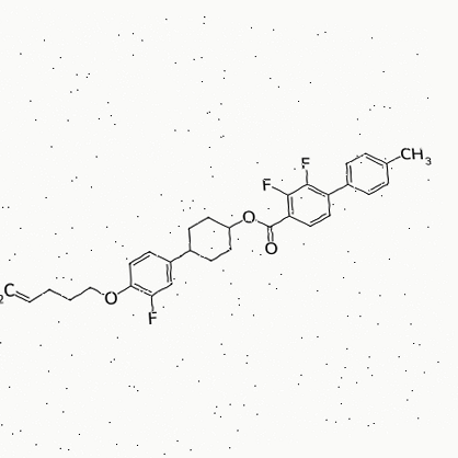 C=CCCCOc1ccc(C2CCC(OC(=O)c3ccc(-c4ccc(C)cc4)c(F)c3F)CC2)cc1F